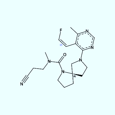 Cc1ncnc(N2CC[C@]3(CCCN3C(=O)N(C)CCC#N)C2)c1/C=C\F